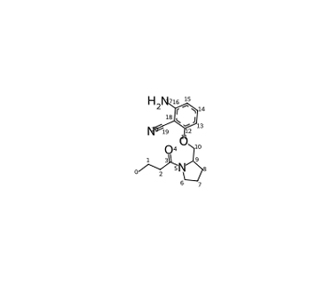 CCCC(=O)N1CCCC1COc1cccc(N)c1C#N